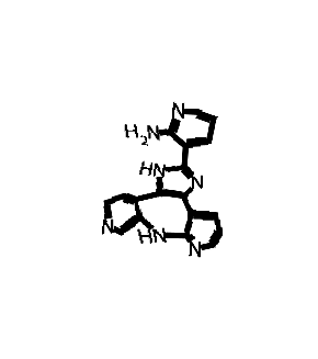 Nc1ncccc1-c1nc2c([nH]1)-c1ccncc1Nc1ncccc1-2